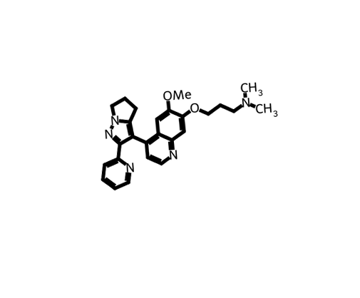 COc1cc2c(-c3c(-c4ccccn4)nn4c3CCC4)ccnc2cc1OCCCN(C)C